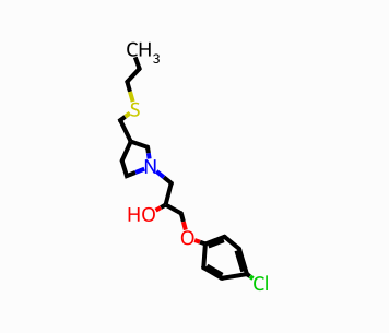 CCCSCC1CCN(CC(O)COc2ccc(Cl)cc2)C1